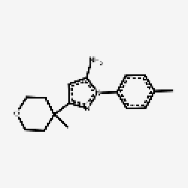 Cc1ccc(-n2nc(C3(C)CCOCC3)cc2N)cc1